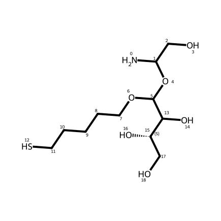 NC(CO)OC(OCCCCCS)C(O)[C@@H](O)CO